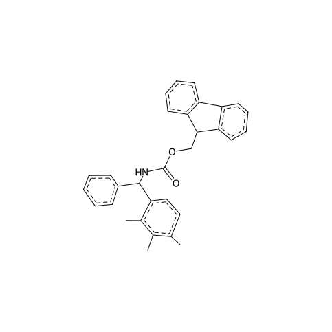 Cc1ccc(C(NC(=O)OCC2c3ccccc3-c3ccccc32)c2ccccc2)c(C)c1C